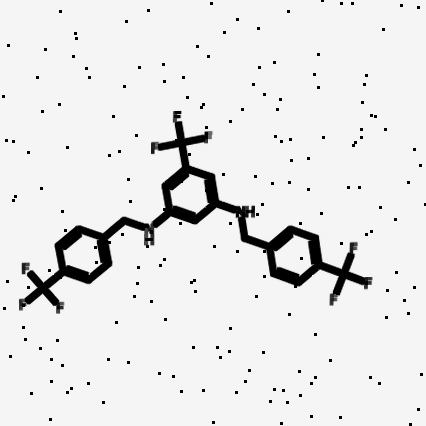 FC(F)(F)c1ccc(CNc2cc(NCc3ccc(C(F)(F)F)cc3)cc(C(F)(F)F)c2)cc1